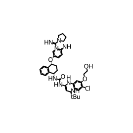 CC(C)(C)C(=N)/C=C(/NC(=O)N[C@H]1CC[C@@H](Oc2ccc(=N)n(C(=N)N3CCCC3)c2)c2ccccc21)Nc1ccc(Cl)c(OCCO)c1